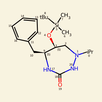 CC(C)N1C[C@H](O[Si](C)(C)C(C)(C)C)[C@H](Cc2ccccc2)NC(=O)N1